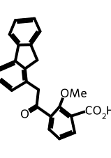 COc1c(C(=O)O)cccc1C(=O)Cc1cccc2c1Cc1ccccc1-2